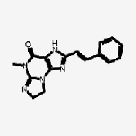 CN1C(=O)c2[nH]c(C=Cc3ccccc3)nc2N2CCN=C12